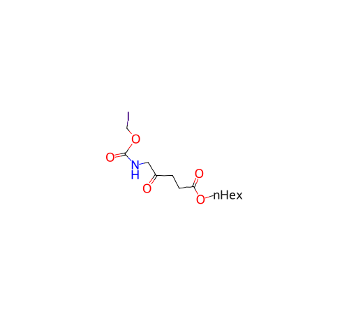 CCCCCCOC(=O)CCC(=O)CNC(=O)OCI